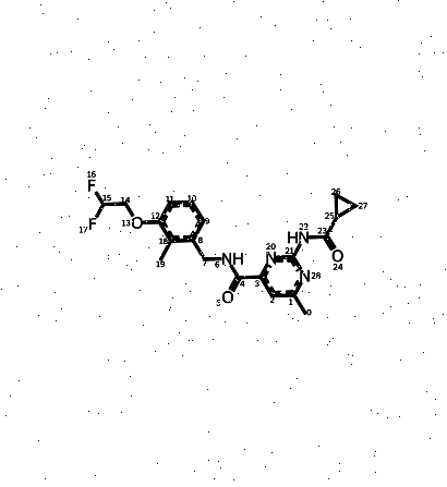 Cc1cc(C(=O)NCc2cccc(OCC(F)F)c2C)nc(NC(=O)C2CC2)n1